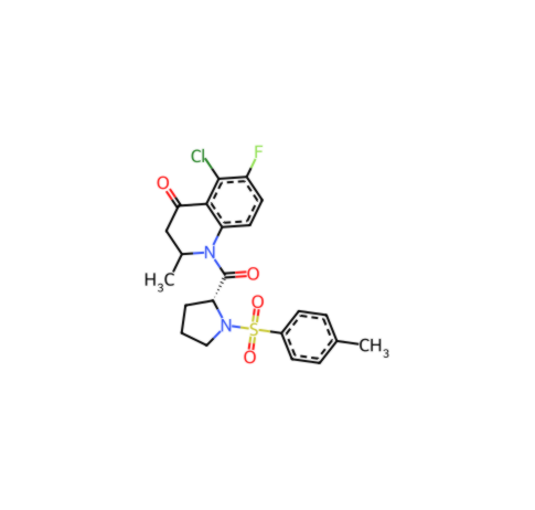 Cc1ccc(S(=O)(=O)N2CCC[C@@H]2C(=O)N2c3ccc(F)c(Cl)c3C(=O)CC2C)cc1